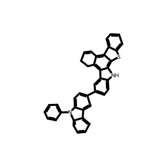 C1=Cc2c(c3c4cc(-c5ccc6c(c5)c5ccccc5n6-c5ccccc5)ccc4[nH]c3c3sc4ccccc4c23)CC1